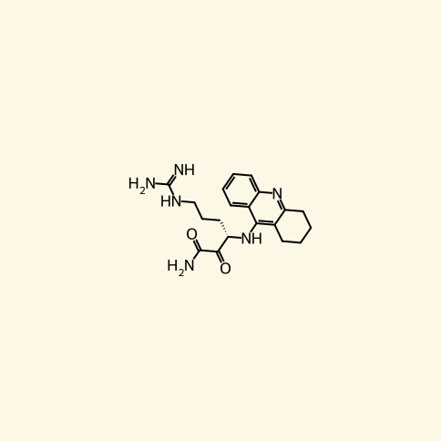 N=C(N)NCCC[C@H](Nc1c2c(nc3ccccc13)CCCC2)C(=O)C(N)=O